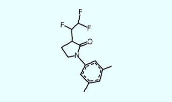 Cc1cc(C)cc(N2CCC(C(F)C(F)F)C2=O)c1